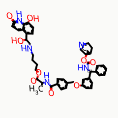 CC(NC(=O)c1ccc(COc2cccc([C@@H](NC(=O)OC3CN4CCC3CC4)c3ccccc3)c2)cc1)C(=O)OCCCCNCC(O)c1ccc(O)c2[nH]c(=O)ccc12